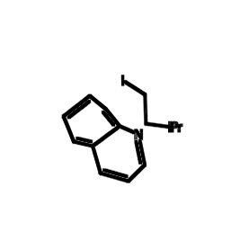 CC(C)CCI.c1ccc2ncccc2c1